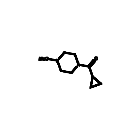 CON1CCN(C(=O)C2CC2)CC1